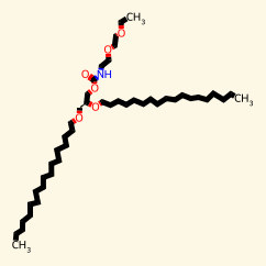 CCCCCCCCCCCCCCCCCCOC[C@H](COC(=O)NCCOCCOCC)OCCCCCCCCCCCCCCCCCC